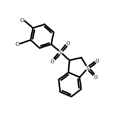 O=S1(=O)CC(S(=O)(=O)c2ccc(Cl)c(Cl)c2)c2ccccc21